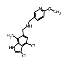 COc1ccc(CNCc2cc(Cl)c3c(Cl)c[nH]c3c2N)cn1